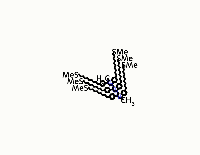 C/C=C(/C=C(/C=C(/C=C(/C=C(/C=C(/C)c1ccc(CCCCCCCCCCSC)cc1)c1ccc(CCCCCCCCCCSC)cc1)c1ccc(CCCCCCCCCCSC)cc1)c1ccc(CCCCCCCCCCSC)cc1)c1ccc(CCCCCCCCCCSC)cc1)c1ccc(CCCCCCCCCCSC)cc1